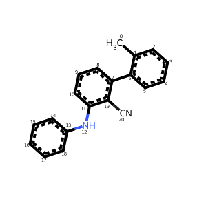 Cc1ccccc1-c1cccc(Nc2ccccc2)c1C#N